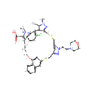 Cc1c2c(nn1C)CSCc1cc(nn1CCN1CCOCC1)CSc1cc(c3ccccc3c1)OCCCc1c(C(=O)O)n(C)c3c-2c(Cl)ccc13